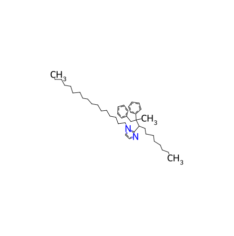 CCCCCCCCCCCCCCCCCn1ccnc1C(CCCCCCCC)C(C)(Cc1ccccc1)c1ccccc1